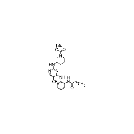 C=CC(=O)Nc1ccccc1Nc1nc(NC2CCCN(C(=O)OC(C)(C)C)C2)ncc1C(F)(F)F